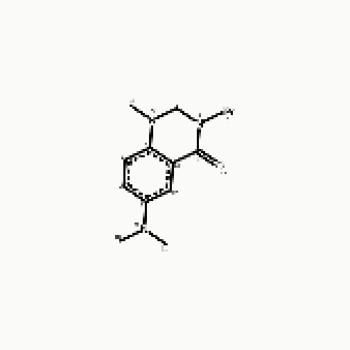 CC(C)N1CN(C)c2ccc(N(C)C)cc2C1=O